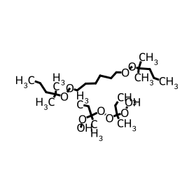 CCC(C)(OO)OOC(C)(CC)OO.CCCC(C)(C)OOCCCCCCOOC(C)(C)CCC